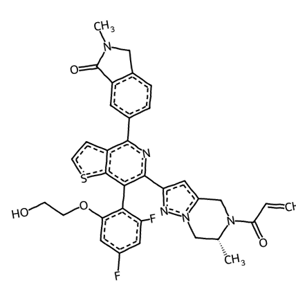 C=CC(=O)N1Cc2cc(-c3nc(-c4ccc5c(c4)C(=O)N(C)C5)c4ccsc4c3-c3c(F)cc(F)cc3OCCO)nn2C[C@H]1C